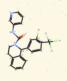 O=C(Nc1cccnc1)N1CCc2ccccc2C1c1ccc(C(F)(F)F)c(F)c1